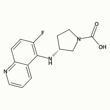 O=C(O)N1CC[C@@H](Nc2c(F)ccc3ncccc23)C1